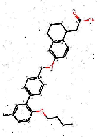 CCCCOc1ccc(C)cc1-c1ccc(COc2ccc3c(c2)CCCC3CC(=O)O)cc1